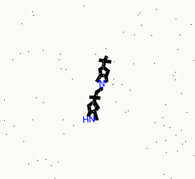 CC(C)(CCN1CC2CC(C(C)(C)C)CC2C1)C1=CC2CNCC2C1